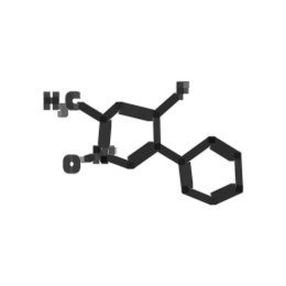 Cc1cc(F)c(-c2ccccc2)c[n+]1[O-]